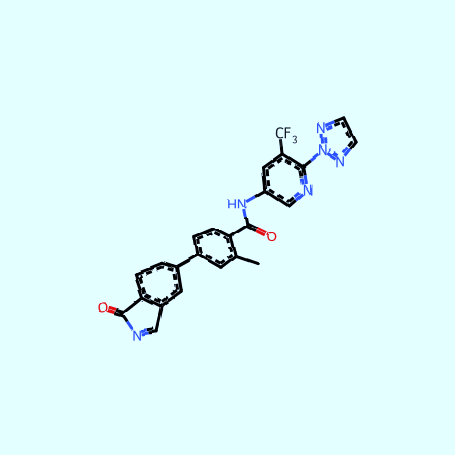 Cc1cc(-c2ccc3c(c2)C=NC3=O)ccc1C(=O)Nc1cnc(-n2nccn2)c(C(F)(F)F)c1